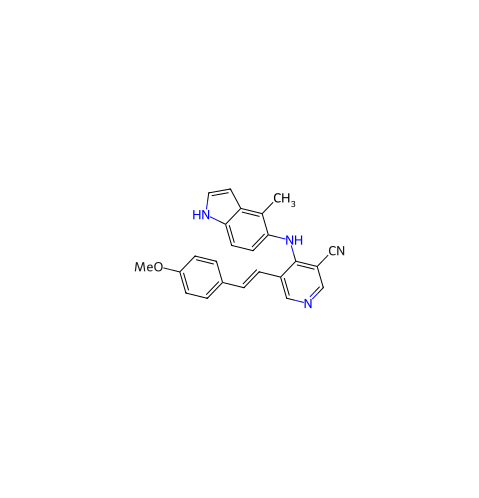 COc1ccc(C=Cc2cncc(C#N)c2Nc2ccc3[nH]ccc3c2C)cc1